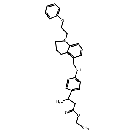 CCOC(=O)CC(C)c1ccc(NCc2cccc3c2CCCN3CCOc2ccccc2)cc1